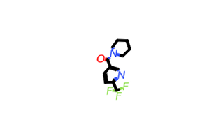 O=C(c1ccc(C(F)(F)F)nc1)N1CCCCC1